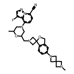 CC1CN(c2ccc(C#N)n3ncc(F)c23)CC(CN2CC3(C2)OCc2cc(N4CC5(CN(C)C5)C4)ccc23)O1